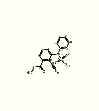 COC(=O)c1cccc(N(c2ccccc2)S(C)(=O)=O)c1C#N